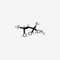 CC(F)(Cl)C=C(F)Cl